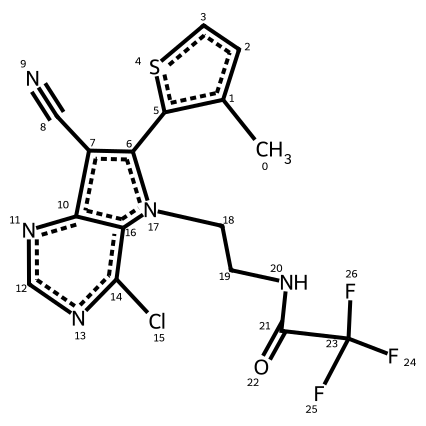 Cc1ccsc1-c1c(C#N)c2ncnc(Cl)c2n1CCNC(=O)C(F)(F)F